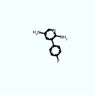 Nc1cnc(N)c(-c2ccc(F)cc2)c1